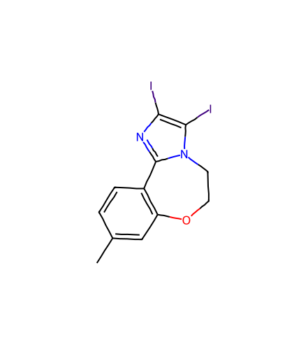 Cc1ccc2c(c1)OCCn1c-2nc(I)c1I